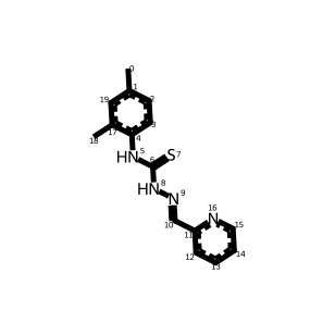 Cc1ccc(NC(=S)N/N=C/c2ccccn2)c(C)c1